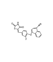 N#Cc1ccc(Oc2ccc(C=C3SC(=O)NC3=O)cc2F)c2ccccc12